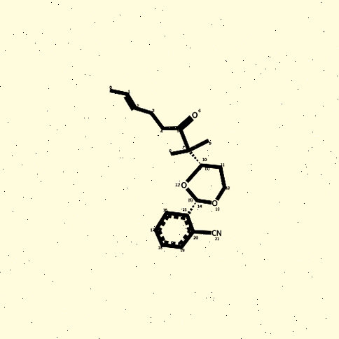 CC=CCCC(=O)C(C)(C)[C@@H]1CCO[C@H](c2ccccc2C#N)O1